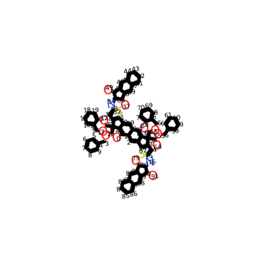 O=C(OCc1ccccc1)C1(C(=O)OCc2ccccc2)C2=CC3C=C4C(=CC3C=C2c2sc(N=c3c(=O)c5cc6ccccc6cc5c3=O)cc21)C(C(=O)OCc1ccccc1)(C(=O)OCc1ccccc1)c1cc(N=c2c(=O)c3cc5ccccc5cc3c2=O)sc14